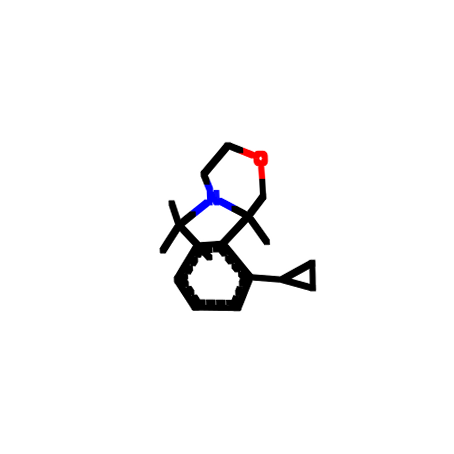 CC(C)(C)N1CCOCC1(C)c1ccccc1C1CC1